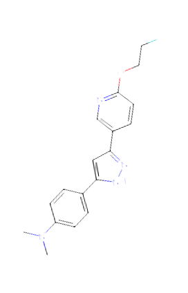 CN(C)c1ccc(-c2cc(-c3ccc(OCCF)nc3)n[nH]2)cc1